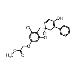 COC(=O)COc1cc(Cl)c(CC2(Cl)C=CC(O)=C(c3ccccc3)C2)c(Cl)c1